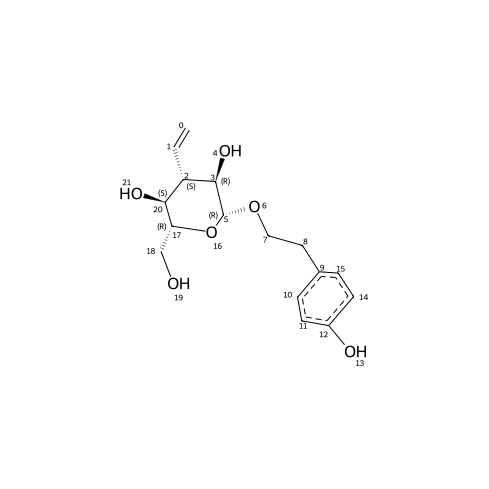 C=C[C@@H]1[C@@H](O)[C@H](OCCc2ccc(O)cc2)O[C@H](CO)[C@H]1O